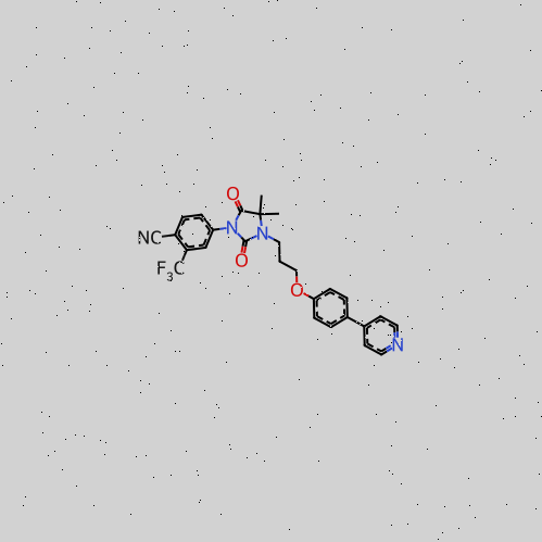 CC1(C)C(=O)N(c2ccc(C#N)c(C(F)(F)F)c2)C(=O)N1CCCOc1ccc(-c2ccncc2)cc1